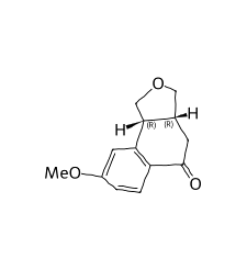 COc1ccc2c(c1)[C@@H]1COC[C@@H]1CC2=O